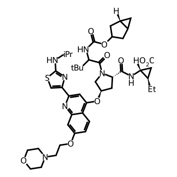 CC[C@@H]1C[C@]1(NC(=O)[C@@H]1C[C@@H](Oc2cc(-c3csc(NC(C)C)n3)nc3cc(OCCN4CCOCC4)ccc23)CN1C(=O)C(NC(=O)OC1CC2C[C@H]2C1)C(C)(C)C)C(=O)O